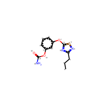 CCCc1nsc(Oc2cccc(OC(N)=O)c2)n1